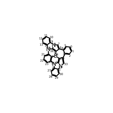 c1ccc2c(c1)-c1cn3c4ccccc4n4c3c1B1c3c-4cccc3-n3c4ccccc4n4cc-2c1c34